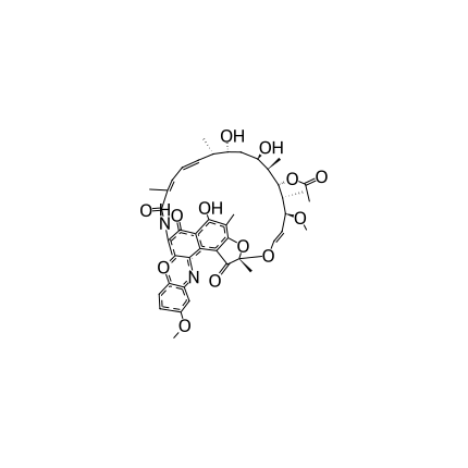 COc1ccc2oc3c4c(=O)c5c(O)c(C)c6c(c5c-3nc2c1)C(=O)[C@@](C)(O/C=C/[C@H](OC)[C@@H](C)[C@@H](OC(C)=O)[C@H](C)[C@H](O)C[C@@H](O)[C@@H](C)/C=C/C=C(/C)C(=O)N4)O6